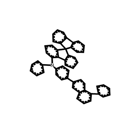 c1ccc(-c2cccc3cc(-c4ccc(N(c5ccccc5)c5cccc6c5-c5ccccc5C65c6ccccc6-c6ccccc65)cc4)ccc23)cc1